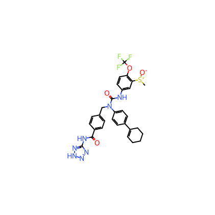 C[S+]([O-])c1cc(NC(=O)N(Cc2ccc(C(=O)Nc3nn[nH]n3)cc2)c2ccc(C3=CCCCC3)cc2)ccc1OC(F)(F)F